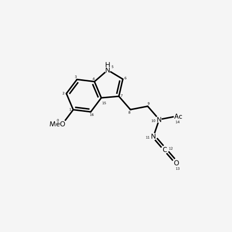 COc1ccc2[nH]cc(CCN(N=C=O)C(C)=O)c2c1